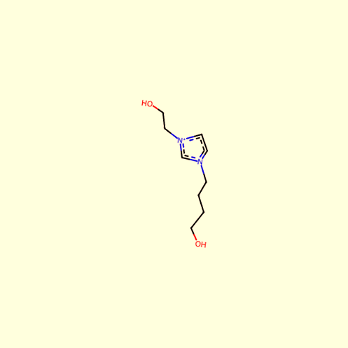 OCCCCn1cc[n+](CCO)c1